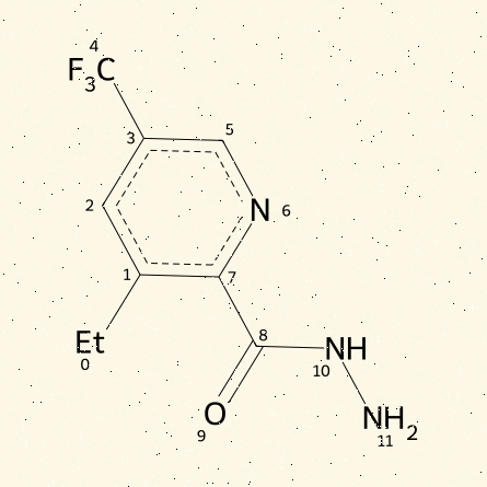 CCc1cc(C(F)(F)F)cnc1C(=O)NN